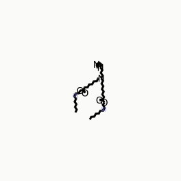 CCCCCC/C=C\COC(=O)CCCCCCCN(CCCCCCCC(=O)OC/C=C\CCCCCC)CCCn1ccnc1